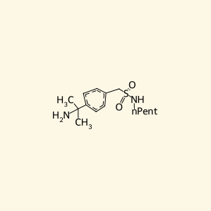 CCCCCNS(=O)(=O)Cc1ccc(C(C)(C)N)cc1